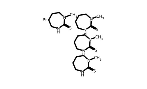 CN1CCCCNC1=S.CN1CCCCNC1=S.CN1CCCCNC1=S.CN1CCCCNC1=S.[Pt]